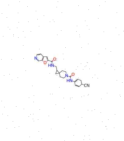 N#CC1C=CC(NC(=O)N2CCC3(CC2)CC3CNC(=O)c2cc3ccncc3o2)=CC1